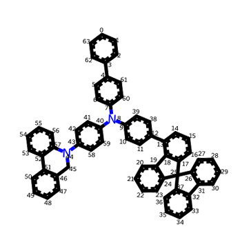 c1ccc(-c2ccc(N(c3ccc(-c4cccc5c4-c4ccccc4C54c5ccccc5-c5ccccc54)cc3)c3ccc(N4Cc5ccccc5-c5ccccc54)cc3)cc2)cc1